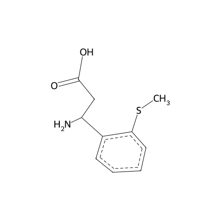 CSc1ccccc1C(N)CC(=O)O